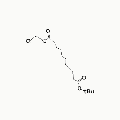 CC(C)(C)OC(=O)CCCCCCCCC(=O)OCCl